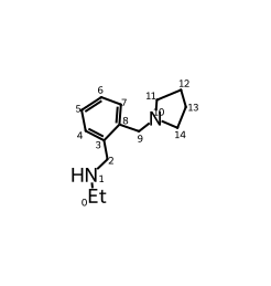 CCNCc1ccccc1CN1CCCC1